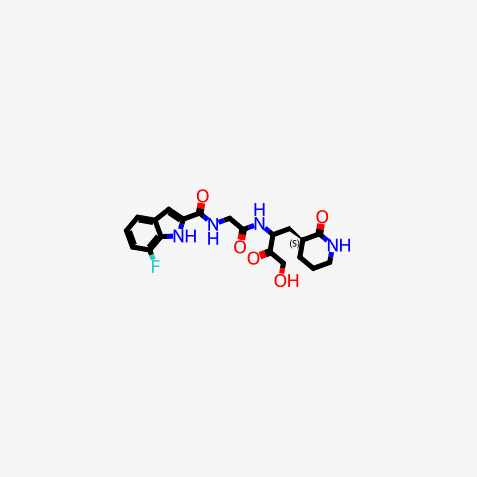 O=C(CNC(=O)c1cc2cccc(F)c2[nH]1)NC(C[C@@H]1CCCNC1=O)C(=O)CO